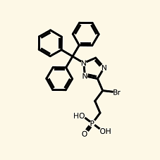 O=P(O)(O)CCC(Br)c1ncn(C(c2ccccc2)(c2ccccc2)c2ccccc2)n1